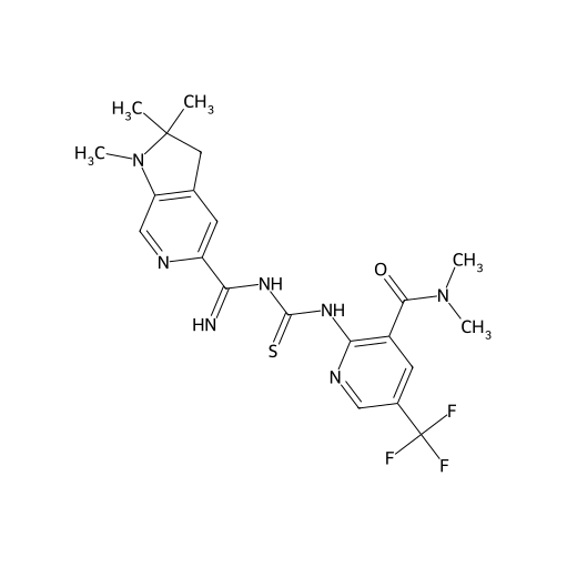 CN(C)C(=O)c1cc(C(F)(F)F)cnc1NC(=S)NC(=N)c1cc2c(cn1)N(C)C(C)(C)C2